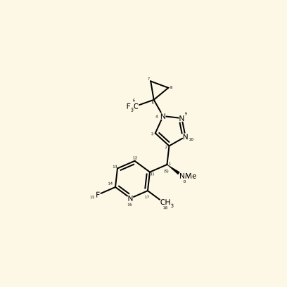 CN[C@H](c1cn(C2(C(F)(F)F)CC2)nn1)c1ccc(F)nc1C